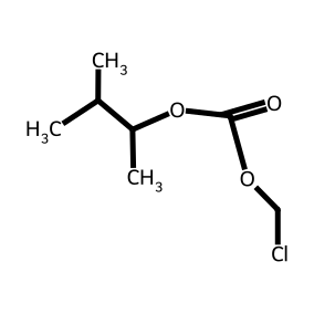 CC(C)C(C)OC(=O)OCCl